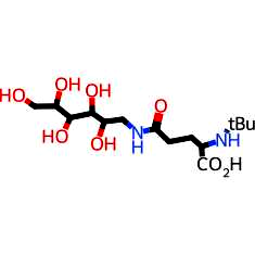 CC(C)(C)NC(CCC(=O)NCC(O)C(O)C(O)C(O)CO)C(=O)O